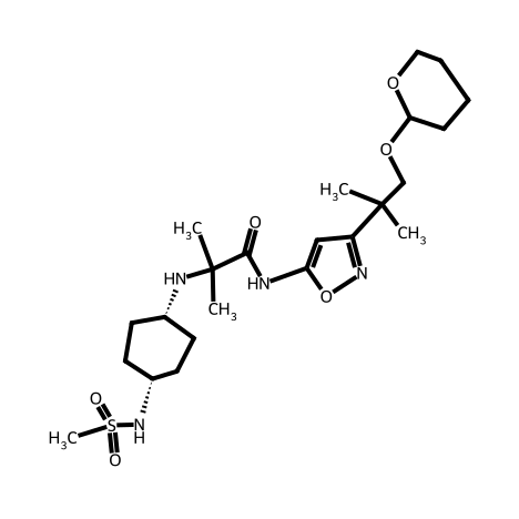 CC(C)(N[C@H]1CC[C@@H](NS(C)(=O)=O)CC1)C(=O)Nc1cc(C(C)(C)COC2CCCCO2)no1